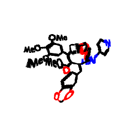 COC(=O)C(=C(/C)c1cc(OC)c(OC)c(OC)c1)/C(=C\c1ccc2c(c1)OCO2)C(=O)Nc1ccncc1